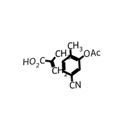 C=C(C)C(=O)O.CC(=O)Oc1cc(C#N)ccc1C